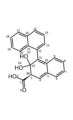 O=C(O)[C@@H]1C=c2ccccc2=C(c2cccc3ccccc23)C1(O)O